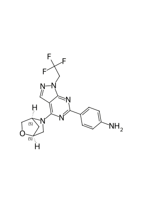 Nc1ccc(-c2nc(N3C[C@@H]4C[C@H]3CO4)c3cnn(CC(F)(F)F)c3n2)cc1